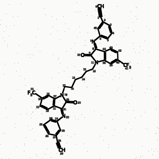 C#Cc1cccc(/N=C2/C(=O)N(CCCCCCN3C(=O)/C(=N/c4cccc(C#C)c4)c4ccc(C(F)(F)F)cc43)c3cc(C(F)(F)F)ccc32)c1